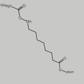 CCCCCCCCCOC(=O)CCCCCCCNOC(=O)CCCCCCC